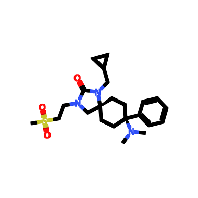 CN(C)[C@]1(c2ccccc2)CC[C@@]2(CC1)CN(CCS(C)(=O)=O)C(=O)N2CC1CC1